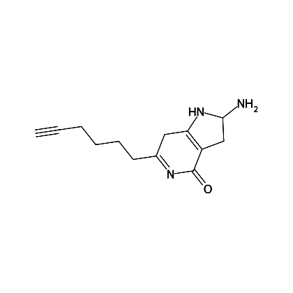 C#CCCCCC1=NC(=O)C2=C(C1)NC(N)C2